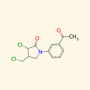 CC(=O)c1cccc(N2CC(CCl)C(Cl)C2=O)c1